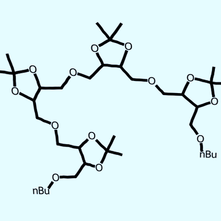 CCCCOCC1OC(C)(C)OC1COCC1OC(C)(C)OC1COCC1OC(C)(C)OC1COCC1OC(C)(C)OC1COCCCC